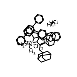 Cl.Cl.[CH3][Zr]([CH3])(=[SiH2])([CH]1C(CC23CC4CC(CC(C4)C2)C3)=Cc2c(-c3ccccc3)ccc(-c3ccccc3)c21)[CH]1C(CC23CC4CC(CC(C4)C2)C3)=Cc2c(-c3ccccc3)ccc(-c3ccccc3)c21